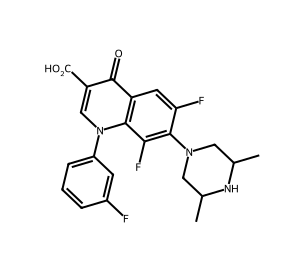 CC1CN(c2c(F)cc3c(=O)c(C(=O)O)cn(-c4cccc(F)c4)c3c2F)CC(C)N1